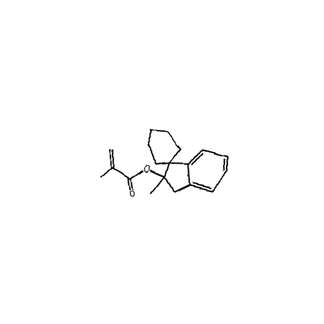 C=C(C)C(=O)OC1(C)Cc2ccccc2C12CCCCC2